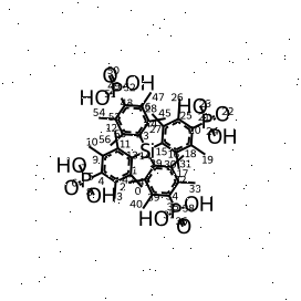 Cc1c(C)c(P(=O)(O)O)c(C)c(C)c1[Si](c1c(C)c(C)c(P(=O)(O)O)c(C)c1C)(c1c(C)c(C)c(P(=O)(O)O)c(C)c1C)c1c(C)c(C)c(P(=O)(O)O)c(C)c1C